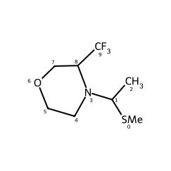 CSC(C)N1CCOCC1C(F)(F)F